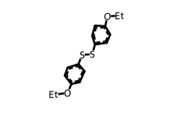 CCOc1ccc(SSc2ccc(OCC)cc2)cc1